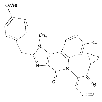 COc1ccc(Cc2nc3c(=O)n(-c4cccnc4C4CC4)c4cc(Cl)ccc4c3n2C)cc1